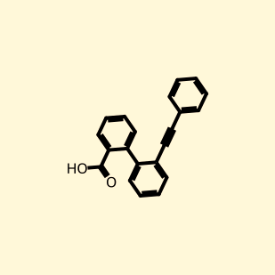 O=C(O)c1ccccc1-c1ccccc1C#Cc1ccccc1